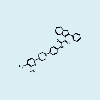 Cc1ccc(N2CCN(c3ccc(NC(=O)C(=O)c4c(-c5ccccc5)cc5ccccn45)cc3)CC2)nc1C